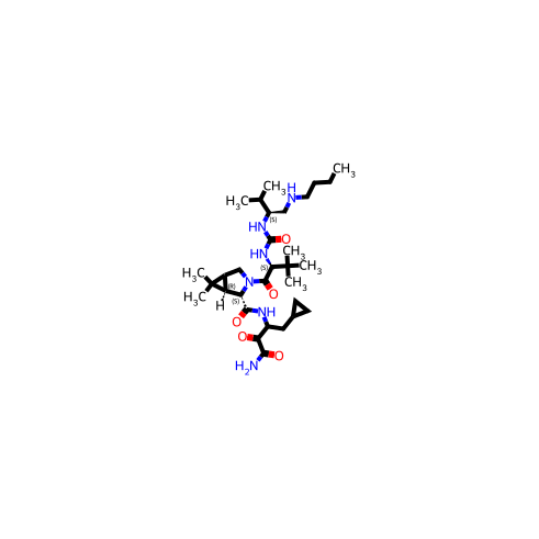 CCCCNC[C@@H](NC(=O)N[C@H](C(=O)N1CC2[C@@H]([C@H]1C(=O)NC(CC1CC1)C(=O)C(N)=O)C2(C)C)C(C)(C)C)C(C)C